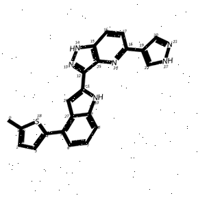 Cc1ccc(-c2cccc3[nH]c(-c4n[nH]c5ccc(-c6cn[nH]c6)nc45)cc23)s1